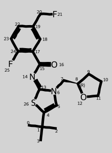 CC(C)(C)c1cn(C[C@H]2CCCO2)c(=NC(=O)c2cc(CF)ccc2F)s1